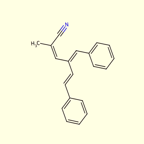 CC(C#N)=CC(C=Cc1ccccc1)=Cc1ccccc1